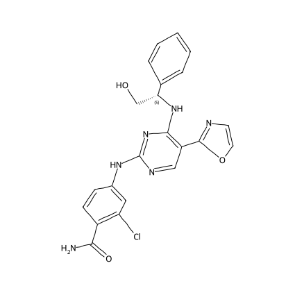 NC(=O)c1ccc(Nc2ncc(-c3ncco3)c(N[C@H](CO)c3ccccc3)n2)cc1Cl